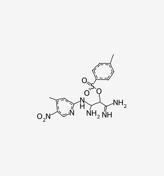 Cc1ccc(S(=O)(=O)OC(C(=N)N)C(N)Nc2cc(C)c([N+](=O)[O-])cn2)cc1